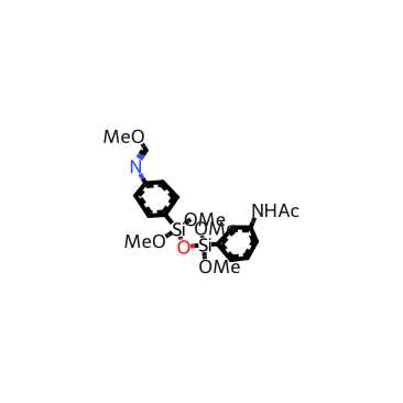 COC=Nc1ccc([Si](OC)(OC)O[Si](OC)(OC)c2cccc(NC(C)=O)c2)cc1